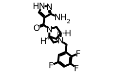 Nc1n[nH]cc1C(=O)N1C[C@@H]2C[C@H]1CN2Cc1cc(F)cc(F)c1F